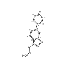 OCCn1ncc2cc(-c3ccncc3)cnc21